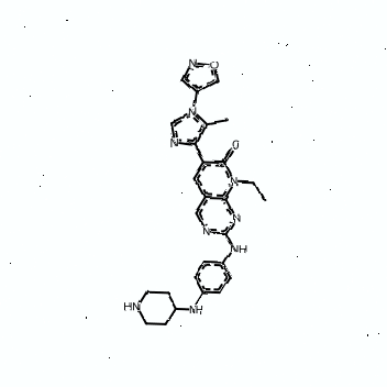 CCn1c(=O)c(-c2ncn(-c3cnoc3)c2C)cc2cnc(Nc3ccc(NC4CCNCC4)cc3)nc21